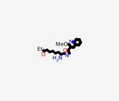 CCC(=O)CCCCCC(N)c1ncc(-c2cc3ccccc3nc2OC)o1